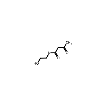 CC(=O)CC(=O)[N]CCO